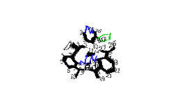 CC(C)c1cccc(C(C)C)c1-n1ccn(-c2c(C(C)C)cccc2C(C)C)[c]1=[Pd].Clc1cccnc1